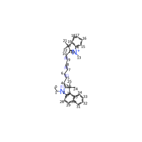 CCN1/C(=C/C=C/C=C/C=C/C2=[N+](C)c3ccccc3C2(C)C)C(C)(C)c2c1ccc1ccccc21